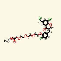 COC(=O)COCCOCCOCCOc1cc(CC2COc3c(Br)cc(CBr)cc3C2=O)ccc1F